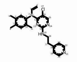 C=CN(c1cc(C)c(C)cc1C)c1nc(NCCc2ccncc2)ncc1Cl